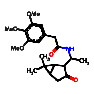 COc1cc(CC(=O)NC(C)C2C(=O)CC3C2C3(C)C)cc(OC)c1OC